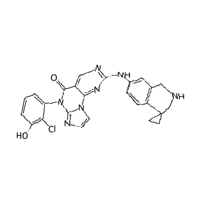 O=c1c2cnc(Nc3ccc4c(c3)CNCC43CC3)nc2n2ccnc2n1-c1cccc(O)c1Cl